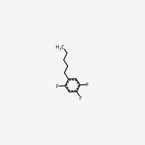 CCCCCc1cc(F)c(F)cc1F